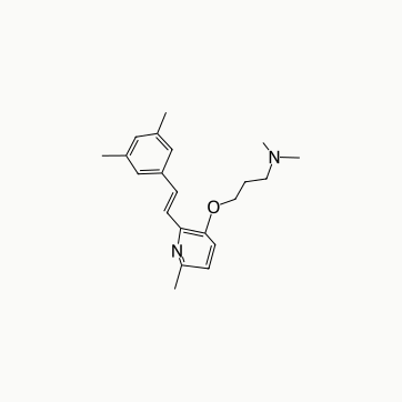 Cc1cc(C)cc(C=Cc2nc(C)ccc2OCCCN(C)C)c1